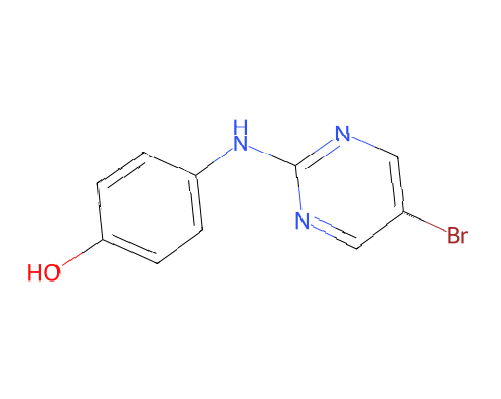 Oc1ccc(Nc2ncc(Br)cn2)cc1